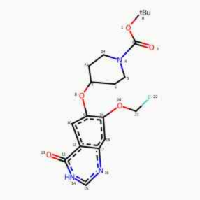 CC(C)(C)OC(=O)N1CCC(Oc2cc3c(=O)[nH]cnc3cc2OCF)CC1